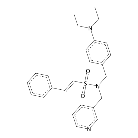 CCN(CC)c1ccc(CN(Cc2cccnc2)S(=O)(=O)/C=C/c2ccccc2)cc1